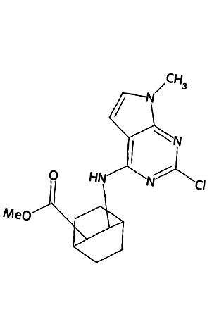 COC(=O)C1C2CCC(CC2)C1Nc1nc(Cl)nc2c1ccn2C